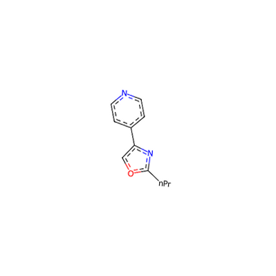 CCCc1nc(-c2ccncc2)co1